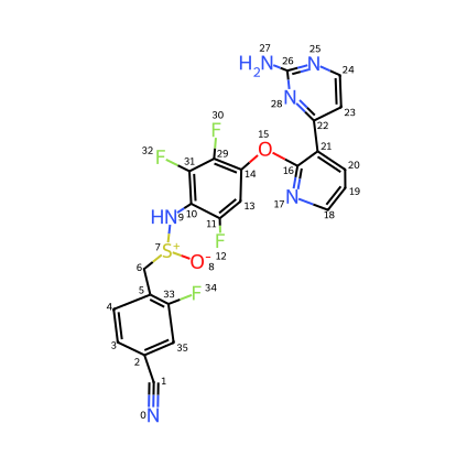 N#Cc1ccc(C[S+]([O-])Nc2c(F)cc(Oc3ncccc3-c3ccnc(N)n3)c(F)c2F)c(F)c1